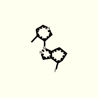 Cc1ccncc1-n1ncc2c(F)cccc21